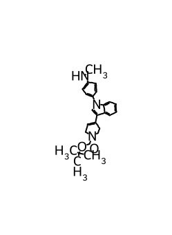 CNc1ccc(-n2cc(C3=CCN(C(=O)OC(C)(C)C)CC3)c3ccccc32)cc1